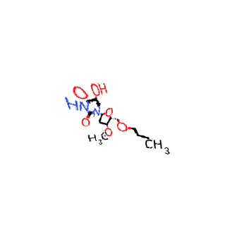 CCCCOC[C@H]1O[C@@H](n2cc(O)c(=O)[nH]c2=O)C[C@@H]1OC